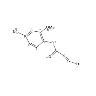 CCC=CC(=O)Oc1ccc(C#N)cc1OC